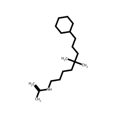 C=C(C)NCCCCC(C)(C)CCCC1CCCCC1